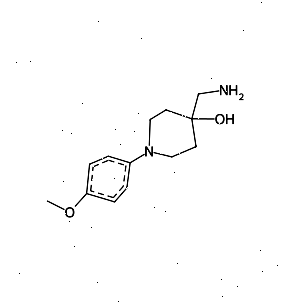 COc1ccc(N2CCC(O)(CN)CC2)cc1